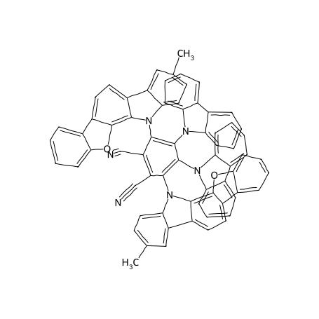 Cc1ccc2c(c1)c1ccc3c4ccccc4oc3c1n2-c1c(C#N)c(C#N)c(-n2c3ccc(C)cc3c3ccc4c5ccccc5oc4c32)c(-n2c3ccccc3c3ccccc32)c1-n1c2ccccc2c2ccccc21